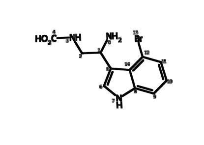 NC(CNC(=O)O)c1c[nH]c2cccc(Br)c12